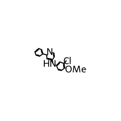 COc1ccc(Nc2ccnc(-c3ccccc3)c2)cc1Cl